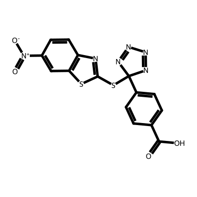 O=C(O)c1ccc(C2(Sc3nc4ccc([N+](=O)[O-])cc4s3)N=NN=N2)cc1